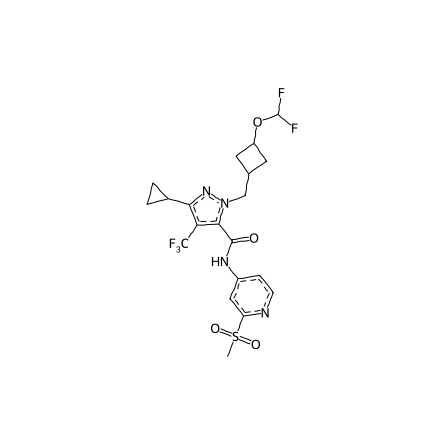 CS(=O)(=O)c1cc(NC(=O)c2c(C(F)(F)F)c(C3CC3)nn2CC2CC(OC(F)F)C2)ccn1